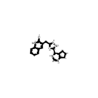 O=c1[nH]c2ccccc2cc1Cc1nnc(-c2ncnc3c2CCC3)o1